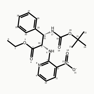 CCOC(=O)[C@@H](Nc1ncccc1[N+](=O)[O-])[C@@H](NC(=O)OC(C)(C)C)c1ccccc1